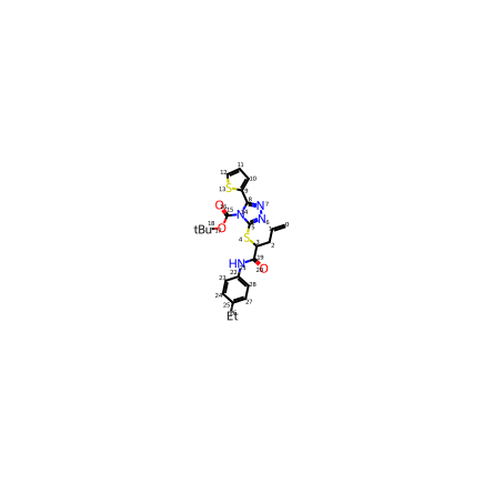 C=CCC(Sc1nnc(-c2cccs2)n1C(=O)OC(C)(C)C)C(=O)Nc1ccc(CC)cc1